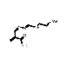 C=C(/C=N\N=C\NCCOC)C(N)=O